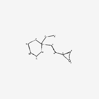 [CH2]CC1(CCC2CO2)CCCCC1